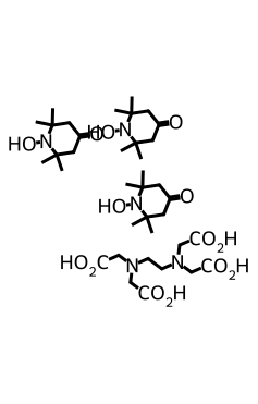 CC1(C)CC(=O)CC(C)(C)N1O.CC1(C)CC(=O)CC(C)(C)N1O.CC1(C)CC(=O)CC(C)(C)N1O.O=C(O)CN(CCN(CC(=O)O)CC(=O)O)CC(=O)O